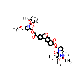 COC[C@H]1CC(C(=O)OCC(=O)c2ccc3c(c2)COc2cc4c(cc2-3)CCC(OC(=O)[C@@H]2CC[C@H](C)N2C(=O)[C@@H](NC(=O)OC)C(C)C)C4=O)N(C(=O)OC(C)(C)C)C1